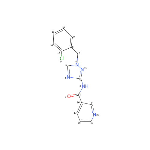 O=C(Nc1ncn(Cc2ccccc2Cl)n1)c1cccnc1